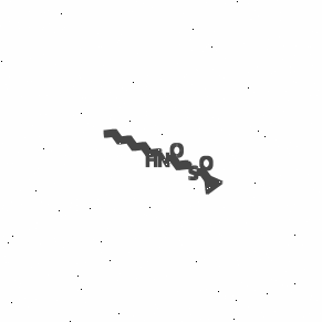 CCCCCCCCNC(=O)C=CSC(=O)C1CC1